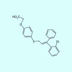 CCc1ccccc1C(=CCSc1ccc(OCC(=O)O)cc1)c1ccccc1